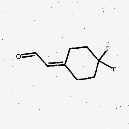 O=CC=C1CCC(F)(F)CC1